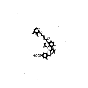 Cc1cccc(OCCCC(=O)N2CCSc3c(-c4cnn(Cc5c(F)cc(C(=O)O)cc5F)c4)cccc32)c1C